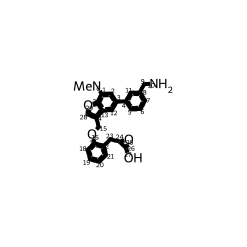 CNc1cc(-c2cccc(CN)c2)cc2c(COc3ccccc3CC3OC3O)coc12